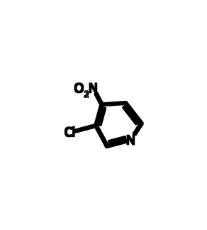 O=[N+]([O-])c1ccncc1Cl